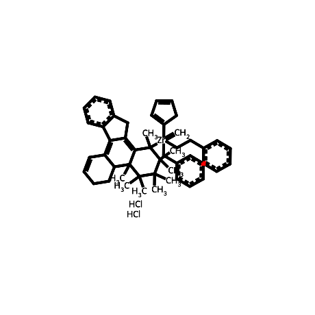 Cl.Cl.[CH2]=[Zr]([CH2]Cc1ccccc1)([CH2]c1ccccc1)([C]1=CC=CC1)[C]1(C)C2=C3Cc4ccccc4C3=C3C=CCCC3C2(C)C(C)(C)C(C)(C)C1(C)C